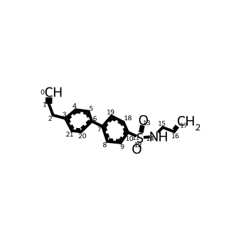 C#CCc1ccc(-c2ccc(S(=O)(=O)NCC=C)cc2)cc1